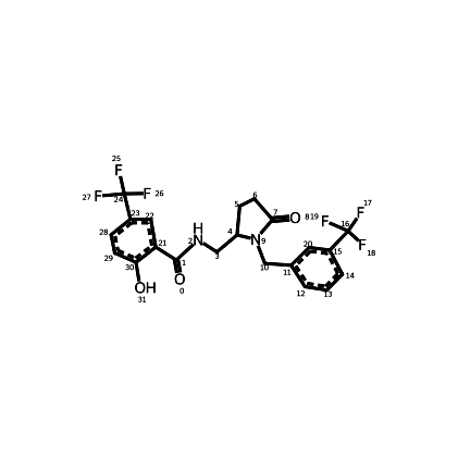 O=C(NCC1CCC(=O)N1Cc1cccc(C(F)(F)F)c1)c1cc(C(F)(F)F)ccc1O